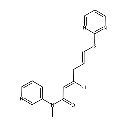 CN(C(=O)/C=C(\Cl)C/C=C/Sc1ncccn1)c1cccnc1